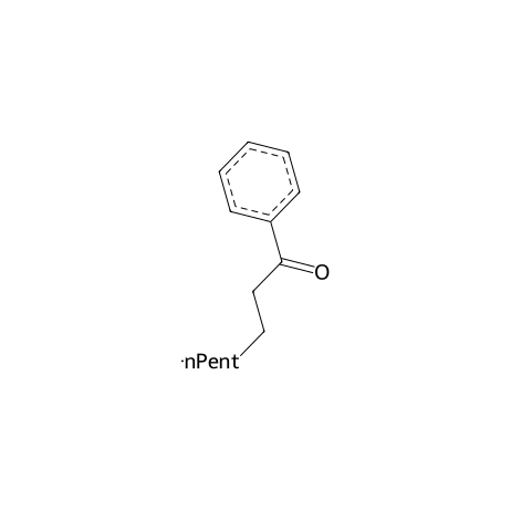 CCCC[CH]CCC(=O)c1ccccc1